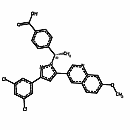 COc1ccc2cc(-c3cc(-c4cc(Cl)cc(Cl)c4)nn3[C@@H](C)c3ccc(C(=O)O)cc3)cnc2c1